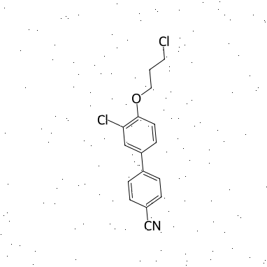 N#Cc1ccc(-c2ccc(OCCCCl)c(Cl)c2)cc1